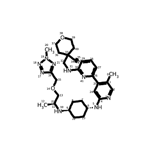 Cc1cnc(N[C@H]2CC[C@H](N[C@@H](C)COCc3nnn(C)n3)CC2)cc1-c1cccc(NCC2(C#N)CCOCC2)n1